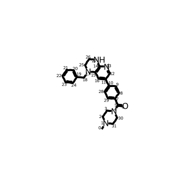 CN1CCN(C(=O)c2ccc(-c3cnc4c(c3)N(Cc3ccccc3)CCN4)cc2)CC1